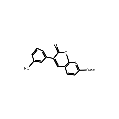 COc1ccc2cc(-c3cccc(C#N)c3)c(=O)oc2n1